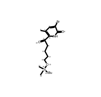 Cc1cc(Br)c(=O)[nH]c1C(=O)CCCCO[Si](C)(C)C(C)(C)C